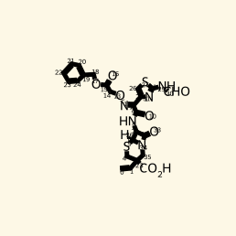 C=CC1(C(=O)O)CS[C@@H]2C(NC(=O)C(=NOCC(=O)OCc3ccccc3)c3csc(NC=O)n3)C(=O)N2C1